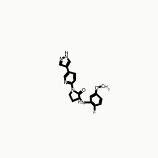 COc1ccc(F)c(NC2CCN(c3ccc(-c4cn[nH]c4)cn3)C2=O)c1